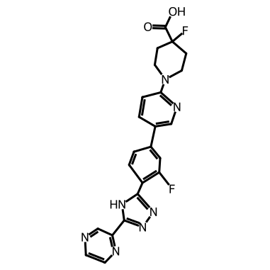 O=C(O)C1(F)CCN(c2ccc(-c3ccc(-c4nnc(-c5cnccn5)[nH]4)c(F)c3)cn2)CC1